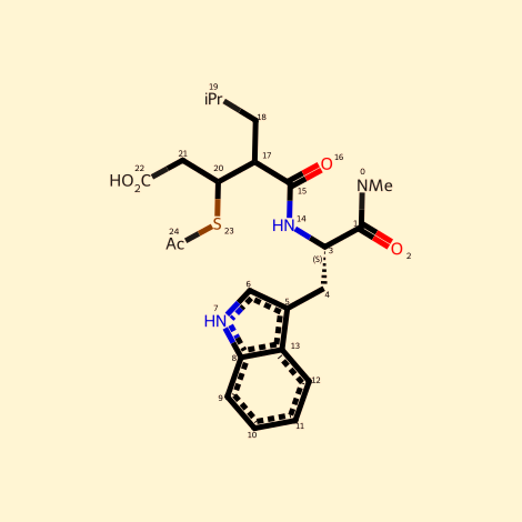 CNC(=O)[C@H](Cc1c[nH]c2ccccc12)NC(=O)C(CC(C)C)C(CC(=O)O)SC(C)=O